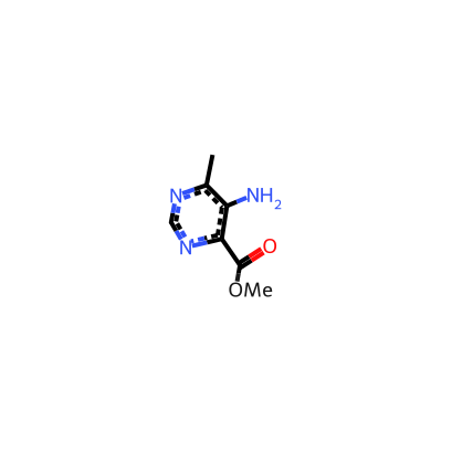 COC(=O)c1ncnc(C)c1N